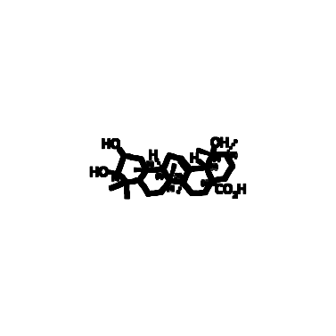 C[C@@H]1CC[C@]2(C(=O)O)CC[C@]3(C)C(=CC[C@@H]4[C@@]5(C)CC(O)[C@H](O)C(C)(C)C5CC[C@]43C)[C@@H]2[C@]1(C)O